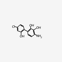 Nc1ccc(-c2ccc(Cl)cc2O)c(O)c1O